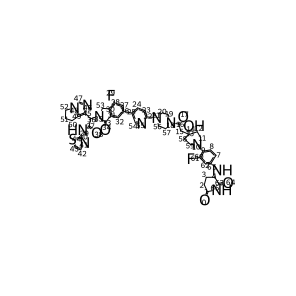 O=C1CC[C@@H](Nc2ccc(N3CCC(O)(CC(=O)N4CCN(c5ccc(-c6cc(F)c7c(c6)C(=O)N(C(C(=O)Nc6nccs6)c6ncn8c6CCC8)C7)cn5)CC4)CC3)c(F)c2)C(=O)N1